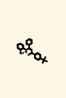 CC(C)(C)c1ccc(C(=O)/C=C(\Nc2ccccc2O)c2ccccc2)cc1